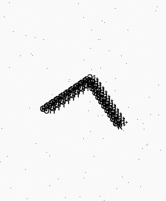 [K+].[O-][Br+2]([O-])O.[O-][Br+2]([O-])O.[O-][Br+2]([O-])O.[O-][Br+2]([O-])O.[O-][Br+2]([O-])O.[O-][Br+2]([O-])O.[O-][Br+2]([O-])O.[O-][Br+2]([O-])O.[O-][Br+2]([O-])O.[O-][Br+2]([O-])O.[O-][Br+2]([O-])O.[O-][Br+2]([O-])O.[O-][Br+2]([O-])O.[O-][Br+2]([O-])O.[O-][Br+2]([O-])O.[O-][Br+2]([O-])O.[O-][Br+2]([O-])O.[O-][Br+2]([O-])O.[O-][Br+2]([O-])O.[O-][Br+2]([O-])[O-]